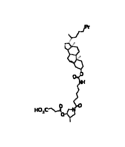 CC(C)CCCC(C)[C@H]1CCC2C3CC=C4CC(OC(=O)NCCCCCC(=O)N5CC(C)C(OC(=O)CCC(=O)O)C5)CC[C@]4(C)C3CC[C@@]21C